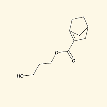 O=C(OCCCO)C1=C2CCC(C2)C1